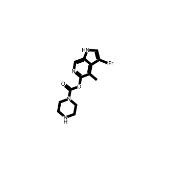 Cc1c(OC(=O)N2CCNCC2)ncc2[nH]cc(C(C)C)c12